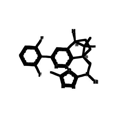 CCN(C[C@@]12CC[C@@H](c3cc(-c4c(F)cccc4F)nnc31)C2(C)C)c1nnc(C)o1